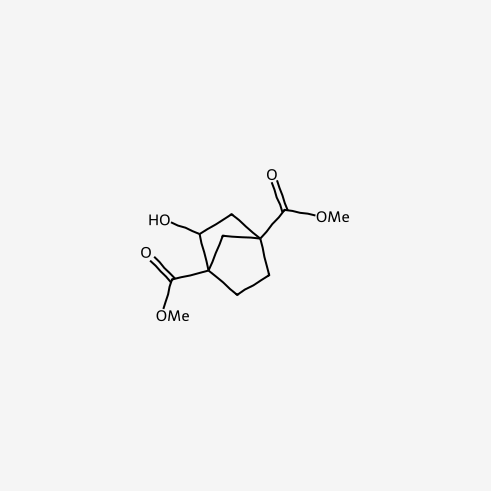 COC(=O)C12CCC(C(=O)OC)(C1)C(O)C2